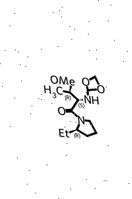 CC[C@@H]1CCCN1C(=O)[C@@H](NC1OCO1)[C@@H](C)OC